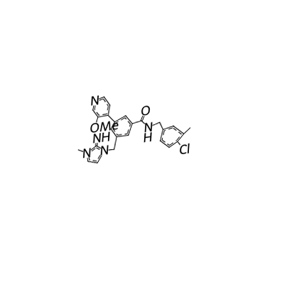 COc1cnccc1-c1cc(Cn2ccn(C)c2=N)cc(C(=O)NCc2ccc(Cl)c(C)c2)c1